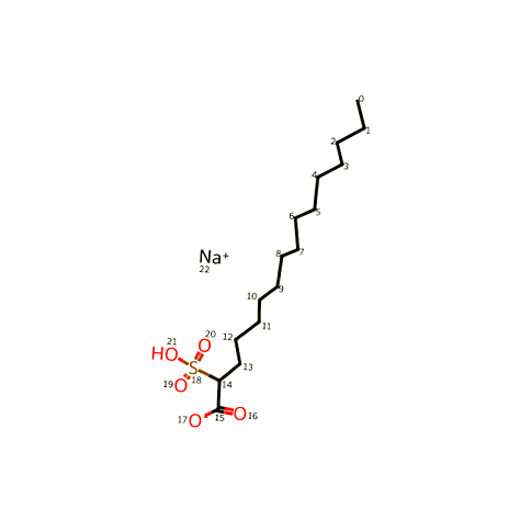 CCCCCCCCCCCCCCC(C(=O)[O-])S(=O)(=O)O.[Na+]